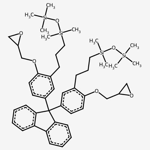 C[Si](C)(C)O[Si](C)(C)CCCc1cc(C2(c3ccc(OCC4CO4)c(CCC[Si](C)(C)O[Si](C)(C)C)c3)c3ccccc3-c3ccccc32)ccc1OCC1CO1